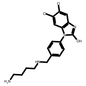 NCCCCNCc1ccc(-n2c(O)nc3cc(Cl)c(Cl)cc32)cc1